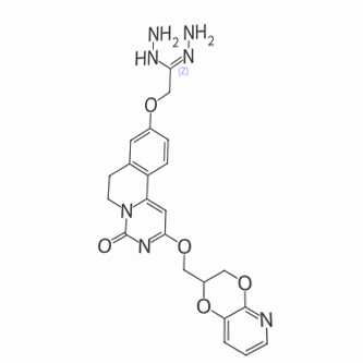 N/N=C(/COc1ccc2c(c1)CCn1c-2cc(OCC2COc3ncccc3O2)nc1=O)NN